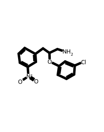 NCC(Cc1cccc([N+](=O)[O-])c1)Oc1cccc(Cl)c1